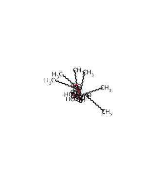 CCCCCCCCCCCCCC(=O)O[C@H](CCCCCCCCCCC)CC(=O)O[C@H]1[C@H](OP(=O)(O)O)[C@@H](CO)O[C@@H](O)[C@]1(CN1CCCC1)N(C(=O)C[C@@H](CCCCCCCCCCC)OC(=O)CCCCCCCCCCCCC)C(=O)C[C@@H](CCCCCCCCCCC)OC(=O)CCCCCCCCCCCCC